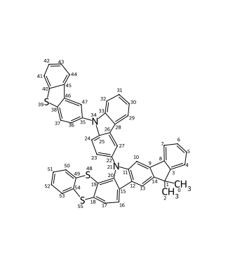 CC1(C)c2ccccc2-c2cc3c(cc21)c1ccc2c(c1n3-c1ccc3c(c1)c1ccccc1n3-c1ccc3sc4ccccc4c3c1)Sc1ccccc1S2